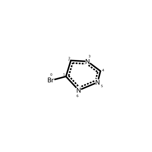 Brc1[c]ncnn1